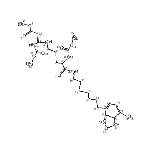 CC(C)(C)OC(=O)/N=C(/NCCCC(NC(=O)OC(C)(C)C)C(=O)NCCCCCCSC1=CC=C([N+](=O)[O-])C2NON=C12)NC(=O)OC(C)(C)C